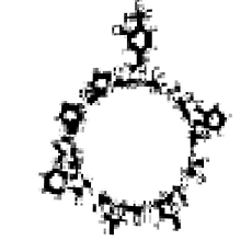 CC[C@H](C)[C@@H]1NC(=O)[C@H](CC(C)C)N(C)C(=O)C[C@@H](C(=O)N2CCCCC2)N(C)C(=O)[C@H](C(C)C)N(C)C(=O)C2(CCCC2)NC(=O)[C@@H]2CCCN2C(=O)[C@H](CCc2ccc(C(F)(F)F)c(Cl)c2)NC(=O)CN(C)C(=O)[C@H](CC2CCCC2)N(C)C(=O)CN(C)C(=O)CN(C)C1=O